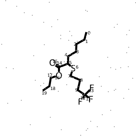 CCCCCC(SCCCC(F)(F)F)C(=O)OCCC